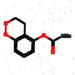 CNC(=O)Oc1cccc2c1CCOO2